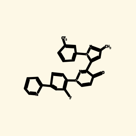 Cc1cc(-c2nn(-c3ccc(-c4ccccn4)cc3F)ccc2=O)n(-c2cccc(C(F)(F)F)c2)n1